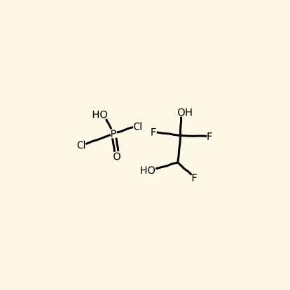 O=P(O)(Cl)Cl.OC(F)C(O)(F)F